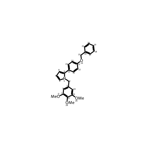 COc1cc(Cn2cccc2-c2ccc(OCc3ccccc3)cc2)cc(OC)c1OC